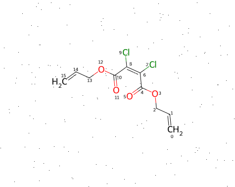 C=CCOC(=O)/C(Cl)=C(/Cl)C(=O)OCC=C